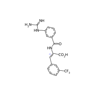 N=C(N)Nc1cccc(C(=O)N/C(=C/c2cccc(C(F)(F)F)c2)C(=O)O)c1